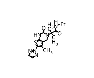 Cc1c(-n2nccn2)sc2c1CN(C(C)(C)C(=O)NC(C)C)C(=O)N2